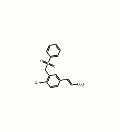 O=C(O)C=Cc1ccc([N+](=O)[O-])c(CS(=O)(=O)c2ccccc2)c1